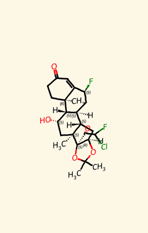 CC1(C)O[C@@H]2C[C@H]3[C@@H]4C[C@H](F)C5=CC(=O)CC[C@]5(C)[C@H]4[C@@H](O)C[C@]3(C)[C@]2(C(=O)C(F)Cl)O1